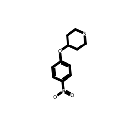 O=[N+]([O-])c1ccc(OC2CCSCC2)cc1